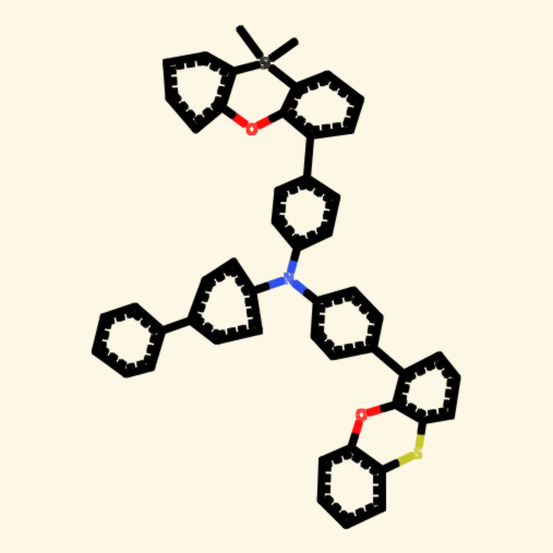 C[Si]1(C)c2ccccc2Oc2c(-c3ccc(N(c4ccc(-c5ccccc5)cc4)c4ccc(-c5cccc6c5Oc5ccccc5S6)cc4)cc3)cccc21